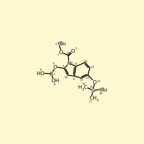 CC(C)(C)OC(=O)n1c(OB(O)O)cc2cc(O[Si](C)(C)C(C)(C)C)ccc21